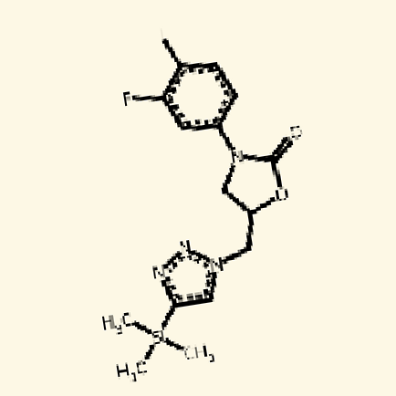 C[Si](C)(C)c1cn(CC2CN(c3ccc(I)c(F)c3)C(=O)O2)nn1